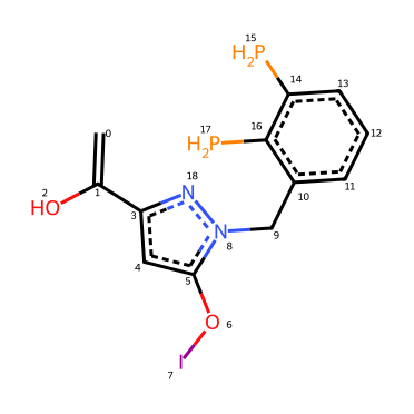 C=C(O)c1cc(OI)n(Cc2cccc(P)c2P)n1